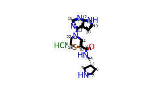 Cl.O=C(NC[C@@H]1CCNC1)C1=CN(c2ncnc3[nH]ccc23)CCS1